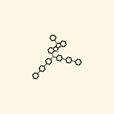 c1ccc(-c2ccc(-c3ccc(N(c4ccc(-c5ccc(-c6ccccc6)cc5)cc4)c4cccc5c4oc4c6ccccc6n(-c6ccccc6)c54)cc3)cc2)cc1